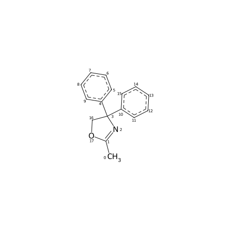 CC1=NC(c2ccccc2)(c2ccccc2)CO1